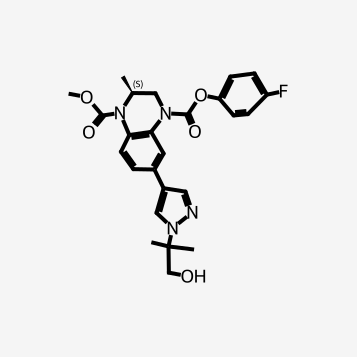 COC(=O)N1c2ccc(-c3cnn(C(C)(C)CO)c3)cc2N(C(=O)Oc2ccc(F)cc2)C[C@@H]1C